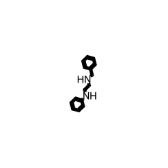 c1ccc(CNCCNc2ccccc2)cc1